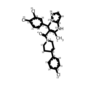 CC1=C(C(=O)N2CC=C(c3ccc(Cl)cc3)CC2)C(c2ccc(Cl)c(Cl)c2)n2nccc2N1